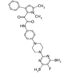 Bc1nc(N2CCN(c3ccc(NC(=O)C(=O)c4c(-c5ccccc5)cc(C)n4C)cc3)CC2)nc(B)c1F